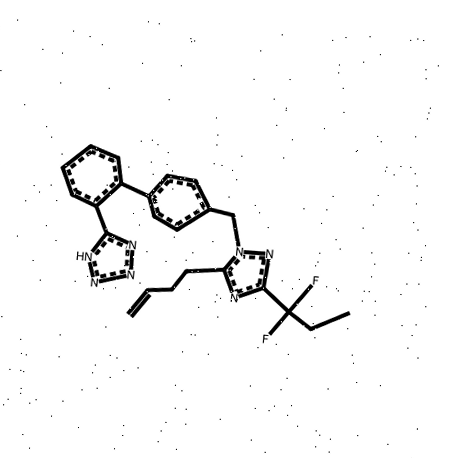 C=CCCc1nc(C(F)(F)CC)nn1Cc1ccc(-c2ccccc2-c2nnn[nH]2)cc1